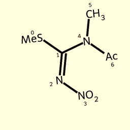 CSC(=N[N+](=O)[O-])N(C)C(C)=O